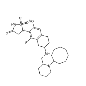 O=C1CN(c2c(O)cc3c(c2F)CC(NCC2CCCCN2C2CCCCCCC2)CC3)S(=O)(=O)N1